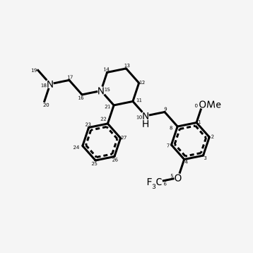 COc1ccc(OC(F)(F)F)cc1CNC1CCCN(CCN(C)C)C1c1ccccc1